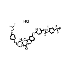 Cl.Cn1c(C(=O)N2CCN(Cc3ccc(OCC(F)F)cc3)CC2)cc2ccc(Oc3ccc(NC(=O)c4ccc(C(F)(F)F)cc4F)cn3)cc21